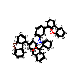 c1cc(-c2cccc3c2oc2ccccc23)cc(N(c2cccc(-c3cccc4sc5ccccc5c34)c2)c2ccccc2-c2cccc3ccccc23)c1